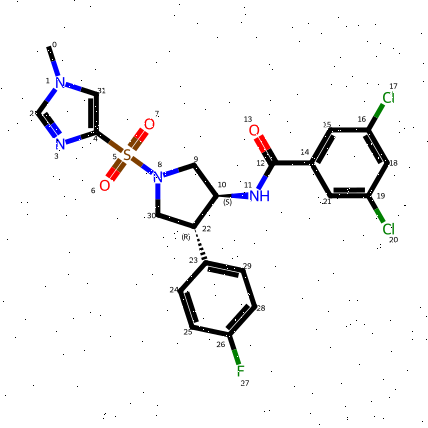 Cn1cnc(S(=O)(=O)N2C[C@@H](NC(=O)c3cc(Cl)cc(Cl)c3)[C@H](c3ccc(F)cc3)C2)c1